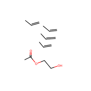 C=CC.C=CC.C=CC.C=CC.CC(=O)OCCO